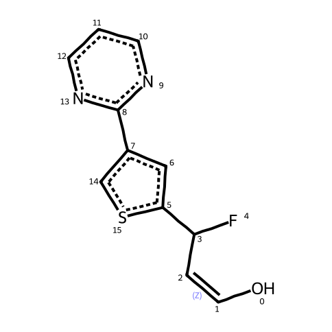 O/C=C\C(F)c1cc(-c2ncccn2)cs1